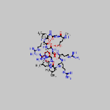 CN[C@@H](CCC(=O)O)C(=O)NCC(=O)N[C@@H](CC(C)C)C(=O)N[C@@H](CCCNC(=N)N)C(=O)N[C@@H](CCCCN)C(=O)N[C@@H](CCCNC(=N)N)C(=O)N[C@@H](CCCNC(=N)N)C(=O)N[C@@H](CCCNC(=N)N)CN[C@@H](CC(C)C)C(=O)N[C@@H](CC(C)C)C(=O)N[C@@H](CO)C(N)=O